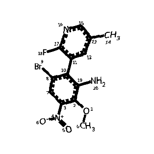 COc1c([N+](=O)[O-])cc(Br)c(-c2cc(C)cnc2F)c1N